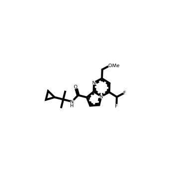 COCc1cc(C(F)F)n2ccc(C(=O)NC(C)(C)C3CC3)c2n1